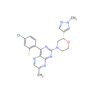 Cc1cnc2c(-c3ccc(Cl)cc3F)nc(N3CCO[C@@H](c4cnn(C)c4)C3)nc2n1